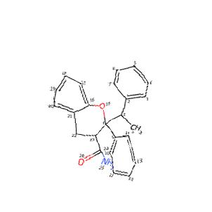 CC(c1ccccc1)C1(c2ccccc2)Oc2ccccc2CC1C(N)=O